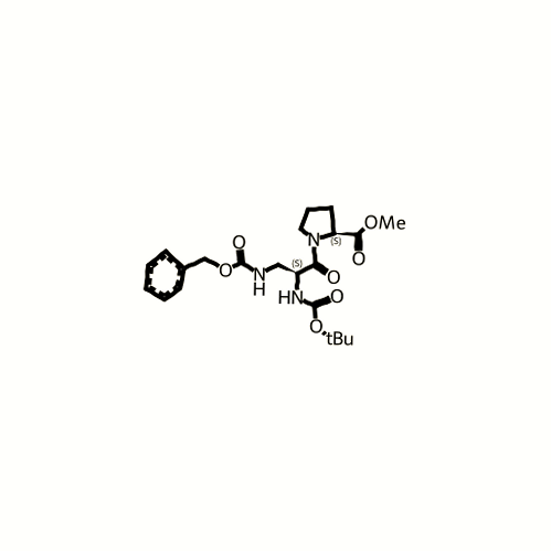 COC(=O)[C@@H]1CCCN1C(=O)[C@H](CNC(=O)OCc1ccccc1)NC(=O)OC(C)(C)C